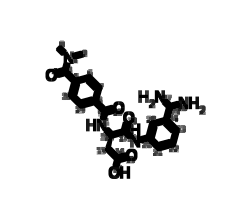 CN(C)C(=O)c1ccc(C(=O)N[C@H](CC(=O)O)C(=O)Nc2cccc(C(N)N)c2)cc1